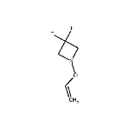 C=CON1CC(F)(F)C1